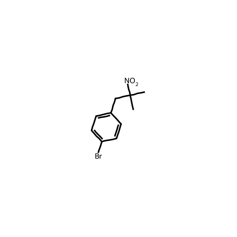 CC(C)(Cc1ccc(Br)cc1)[N+](=O)[O-]